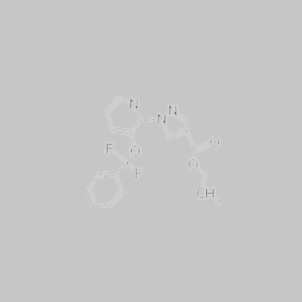 CCOC(=O)c1cnn(-c2ncccc2OC(F)(F)c2ccccc2)c1